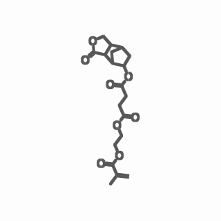 C=C(C)C(=O)OCCOC(=O)CCC(=O)OC1CC2CC1C1C(=O)OCC21